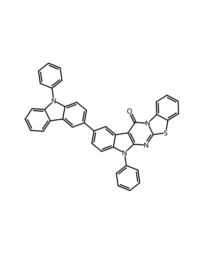 O=c1c2c3cc(-c4ccc5c(c4)c4ccccc4n5-c4ccccc4)ccc3n(-c3ccccc3)c2nc2sc3ccccc3n12